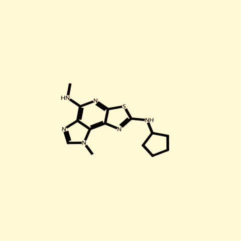 CNc1nc2sc(NC3CCCC3)nc2c2c1ncn2C